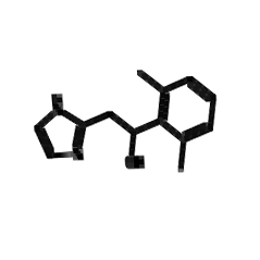 Cc1cccc(C)c1C(O)Cc1ncc[nH]1